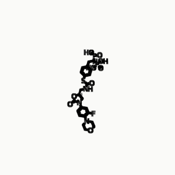 O=C(NC[C@H]1CN(c2ccc(N3CCOCC3)c(F)c2)C(=O)O1)Sc1ccc(CC([PH](=O)O)P(=O)(O)O)cc1